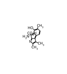 CC1=C(C)C2=c3ccc(C)c(O)c3=NC2=N1.NC(=O)O